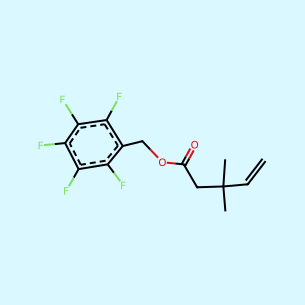 C=CC(C)(C)CC(=O)OCc1c(F)c(F)c(F)c(F)c1F